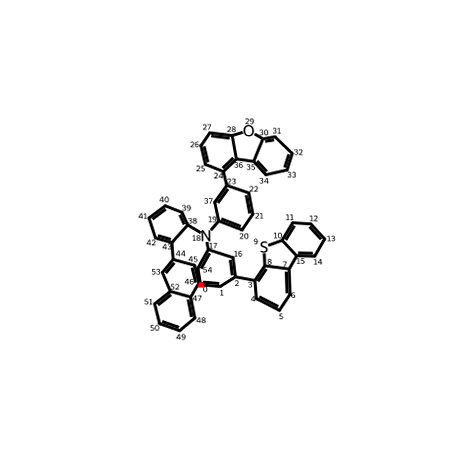 c1cc(-c2cccc3c2sc2ccccc23)cc(N(c2cccc(-c3cccc4oc5ccccc5c34)c2)c2ccccc2-c2ccc3ccccc3c2)c1